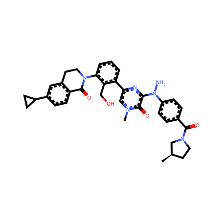 C[C@@H]1CCN(C(=O)c2ccc(N(N)c3nc(-c4cccc(N5CCc6cc(C7CC7)ccc6C5=O)c4CO)cn(C)c3=O)cc2)C1